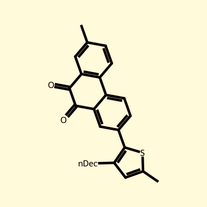 CCCCCCCCCCc1cc(C)sc1-c1ccc2c(c1)C(=O)C(=O)c1cc(C)ccc1-2